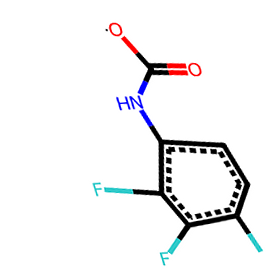 [O]C(=O)Nc1ccc(F)c(F)c1F